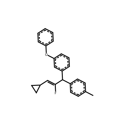 Cc1ccc(C(C(F)=CC2CC2)c2cccc(Oc3ccccc3)c2)cc1